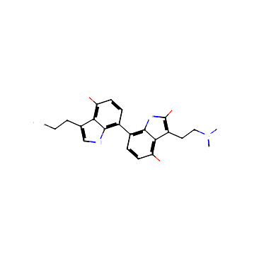 CNCCc1c[nH]c2c(-c3ccc(O)c4c(CCN(C)C)c(O)[nH]c34)ccc(O)c12